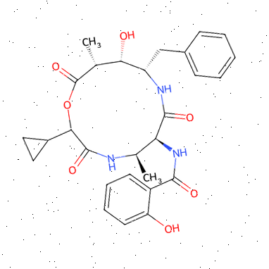 C[C@H]1NC(=O)C(C2CC2)OC(=O)[C@H](C)[C@H](O)[C@H](Cc2ccccc2)NC(=O)[C@H]1NC(=O)c1ccccc1O